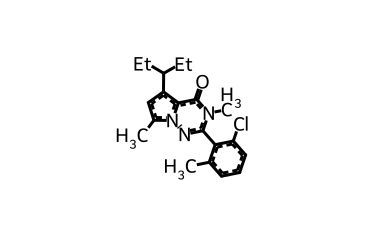 CCC(CC)c1cc(C)n2nc(-c3c(C)cccc3Cl)n(C)c(=O)c12